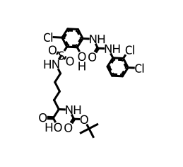 CC(C)(C)OC(=O)NC(CCCCNS(=O)(=O)c1c(Cl)ccc(NC(=O)Nc2cccc(Cl)c2Cl)c1O)C(=O)O